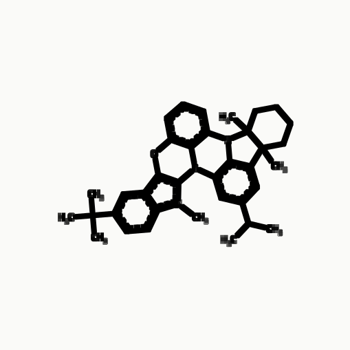 CC(C)c1cc2c3c(c1)C1(C)CCCCC1(C)N3c1cccc3c1B2c1c(c2cc(C(C)(C)C)ccc2n1C)O3